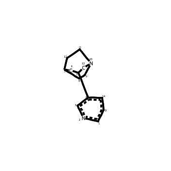 c1cncc(C2CC3CCN(CC3)C2)c1